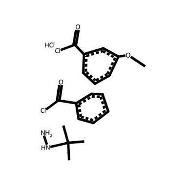 CC(C)(C)NN.COc1cccc(C(=O)Cl)c1.Cl.O=C(Cl)c1ccccc1